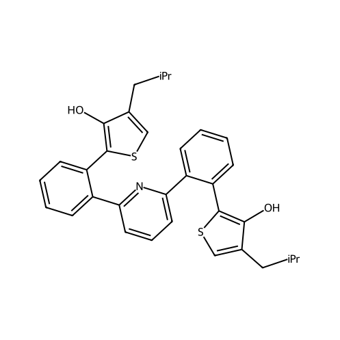 CC(C)Cc1csc(-c2ccccc2-c2cccc(-c3ccccc3-c3scc(CC(C)C)c3O)n2)c1O